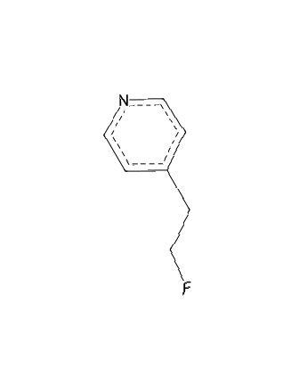 FCCc1ccncc1